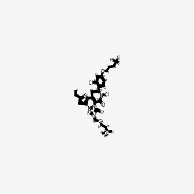 CCc1ccc(C2=C(n3nnn(COCC[Si](C)(C)C)c3=O)C(=O)N(Cl)C(c3ccc(OCCCC(F)(F)F)cc3Cl)C2)s1